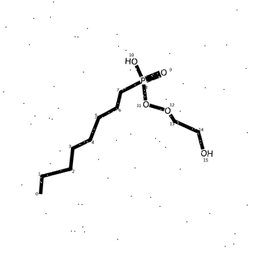 CCCCCCCCP(=O)(O)OOCCO